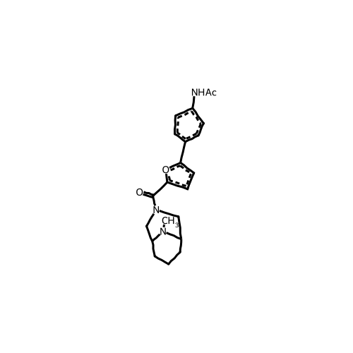 CC(=O)Nc1ccc(-c2ccc(C(=O)N3CC4CCCC(C3)N4C)o2)cc1